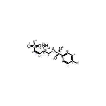 Cc1ccc(S(=O)(=O)OC[C@@H](N)/C=C\S(C)(=O)=O)cc1